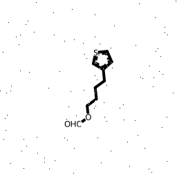 O=COCCCCc1ccsc1